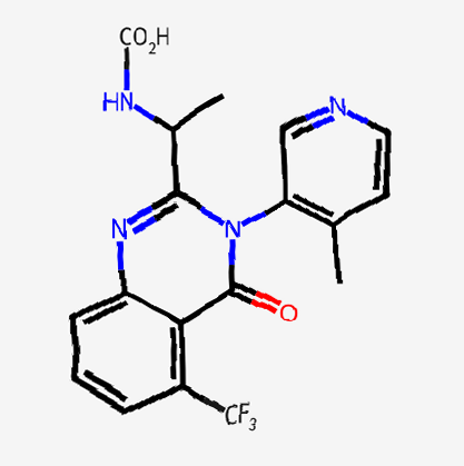 Cc1ccncc1-n1c(C(C)NC(=O)O)nc2cccc(C(F)(F)F)c2c1=O